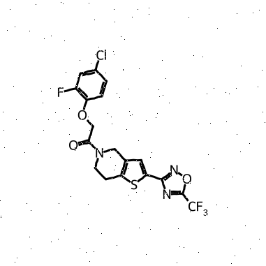 O=C(COc1ccc(Cl)cc1F)N1CCc2sc(-c3noc(C(F)(F)F)n3)cc2C1